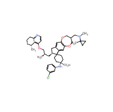 C[C@@H](COc1ccnc2c1[C@H](C)CCC2)C[C@H]1Cc2cc3c(cc2C12CCC(Nc1cccc(Cl)c1)(C(=O)O)CC2)OCC(CN(C)C1(C)CC1)CO3